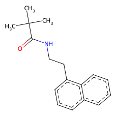 CC(C)(C)C(=O)NCCc1cccc2ccccc12